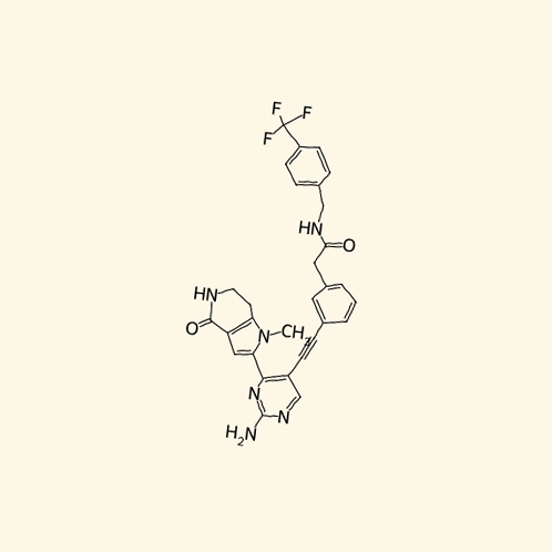 Cn1c(-c2nc(N)ncc2C#Cc2cccc(CC(=O)NCc3ccc(C(F)(F)F)cc3)c2)cc2c1CCNC2=O